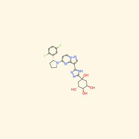 O[C@@H]1C[C@](O)(c2nnc(-c3cnn4ccc(N5CCC[C@@H]5c5cc(F)ccc5F)nc34)[nH]2)C[C@@H](O)[C@H]1O